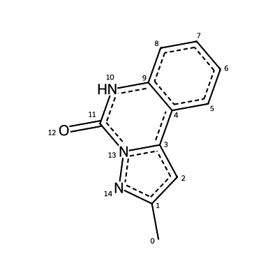 Cc1cc2c3ccccc3[nH]c(=O)n2n1